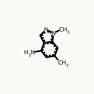 Cc1cc(N)c2cnn(C)c2c1